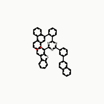 c1cc(-c2ccc3ccccc3c2)cc(-c2nc(-c3ccccc3-c3cc4ccccc4c4ccccc34)nc(-c3cccc4c3sc3ccccc34)n2)c1